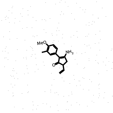 C=CC1CC(N)=C(c2ccc(OC)c(C)c2)C1=O